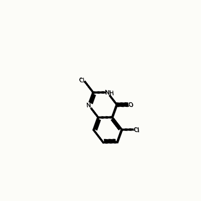 O=c1[nH]c(Cl)nc2cccc(Cl)c12